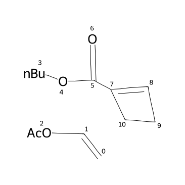 C=COC(C)=O.CCCCOC(=O)C1=CCC1